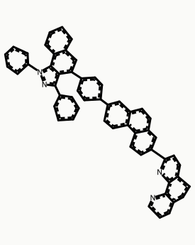 c1ccc(-c2nn(-c3ccccc3)c3c2c(-c2ccc(-c4ccc5c(ccc6cc(-c7ccc8ccc9cccnc9c8n7)ccc65)c4)cc2)cc2ccccc23)cc1